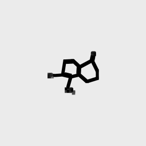 CC(C)c1ccc2c(c1[N+](=O)[O-])CCCC2=O